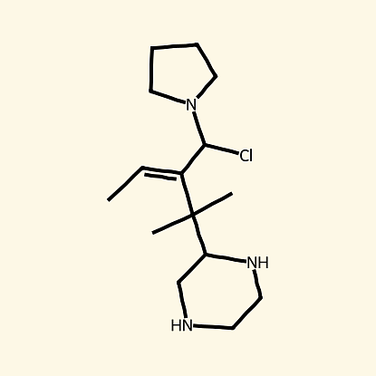 C/C=C(/C(Cl)N1CCCC1)C(C)(C)C1CNCCN1